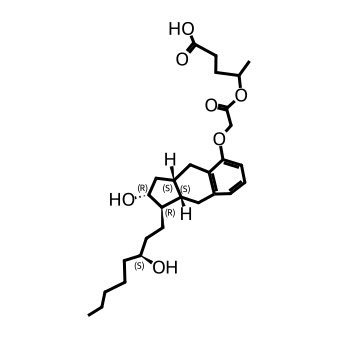 CCCCC[C@H](O)CC[C@@H]1[C@H]2Cc3cccc(OCC(=O)OC(C)CCC(=O)O)c3C[C@H]2C[C@H]1O